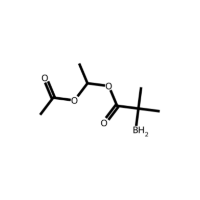 BC(C)(C)C(=O)OC(C)OC(C)=O